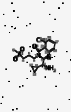 CS(=O)(=O)CCCn1c(C(N)C2CC2)nc2cccc(Cl)c2c1=O